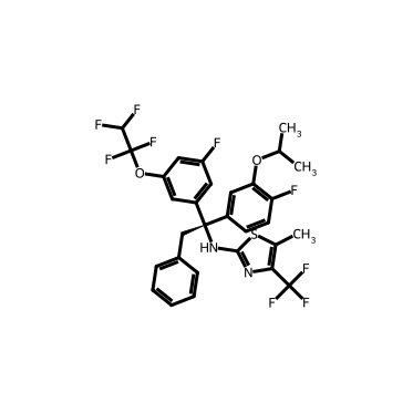 Cc1sc(N[C@](Cc2ccccc2)(c2cc(F)cc(OC(F)(F)C(F)F)c2)c2ccc(F)c(OC(C)C)c2)nc1C(F)(F)F